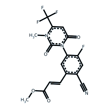 COC(=O)C=Cc1cc(-n2c(=O)cc(C(F)(F)F)n(C)c2=O)c(F)cc1C#N